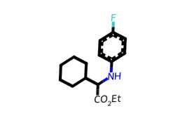 CCOC(=O)C(Nc1ccc(F)cc1)C1CCCCC1